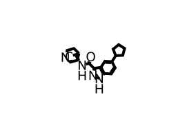 O=C(NC1CN2CCC1CC2)c1n[nH]c2ccc(C3CCCC3)cc12